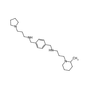 CC1CCCCN1CCCNCc1ccc(CNCCCN2CCCC2)cc1